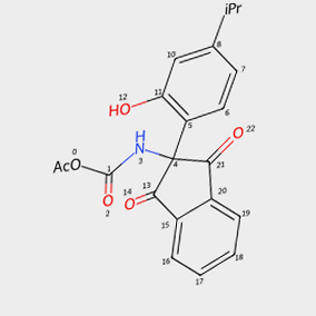 CC(=O)OC(=O)NC1(c2ccc(C(C)C)cc2O)C(=O)c2ccccc2C1=O